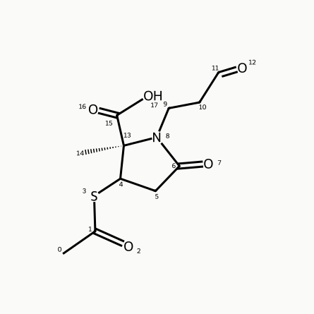 CC(=O)SC1CC(=O)N(CCC=O)[C@]1(C)C(=O)O